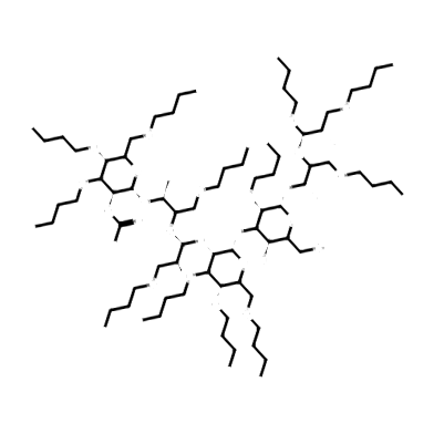 CCCCOCC1O[C@@H](O[C@@H](C)C(COCCCC)O[C@@H](O[C@H]2C(OCCCC)[C@@H](OCCCC)C(COCCCC)O[C@H]2OC2[C@H](O)C(CO)O[C@@H](O[C@@H](C)C(COCCCC)O[C@@H](OCCCC)[C@@H](C)COCCCC)[C@@H]2OCCCC)[C@@H](C)COCCCC)[C@@H](OC(C)=O)C(OCCCC)[C@H]1OCCCC